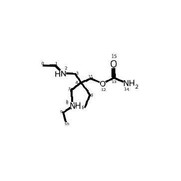 CCNCC(CC)(CNCC)COC(N)=O